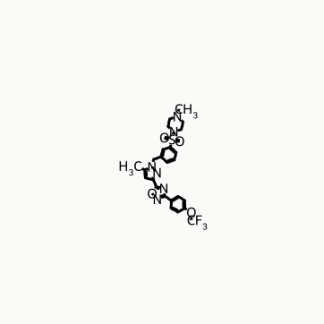 Cc1cc(-c2nc(-c3ccc(OC(F)(F)F)cc3)no2)nn1Cc1cccc(S(=O)(=O)N2CCN(C)CC2)c1